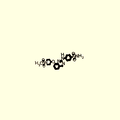 CS(=O)(=O)N1CCC(Oc2cccc3cnc(Nc4ccc(S(N)(=O)=O)cc4)nc23)CC1